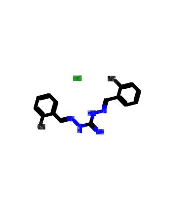 Cl.N#Cc1ccccc1C=NNC(=N)NN=Cc1ccccc1C#N